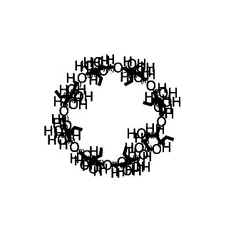 CC[C@H]1O[C@@H]2O[C@H]3[C@H](O)[C@@H](O)[C@@H](O[C@H]4[C@H](O)[C@@H](O)[C@@H](O[C@H]5[C@H](O)[C@@H](O)[C@@H](O[C@H]6[C@H](O)[C@@H](O)[C@@H](O[C@H]7[C@H](O)[C@@H](O)[C@@H](O[C@H]8[C@H](O)[C@@H](O)[C@@H](O[C@H]9[C@H](O)[C@@H](O)[C@@H](O[C@H]1[C@H](O)[C@H]2O)O[C@@H]9CC)O[C@@H]8CC)O[C@@H]7CC)O[C@@H]6CC)O[C@@H]5CC)O[C@@H]4CC)O[C@@H]3CC